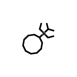 CC[Si](CC)(C(C)C)C1CCCCCCCCC1